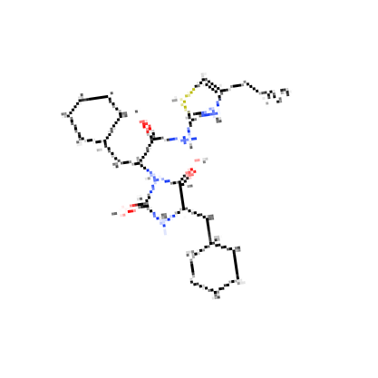 CCOC(=O)Cc1csc(NC(=O)C(CC2CCCCC2)N2C(=O)NC(CC3CCCCC3)C2=O)n1